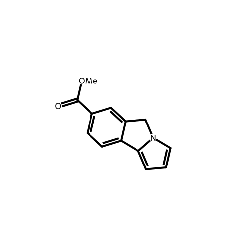 COC(=O)c1ccc2c(c1)Cn1cccc1-2